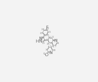 COc1ccc(-c2ccnc3ccc(-c4c[nH]nc4-c4ccc(F)cc4)cc23)cn1